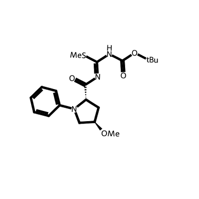 CO[C@@H]1C[C@@H](C(=O)/N=C(/NC(=O)OC(C)(C)C)SC)N(c2ccccc2)C1